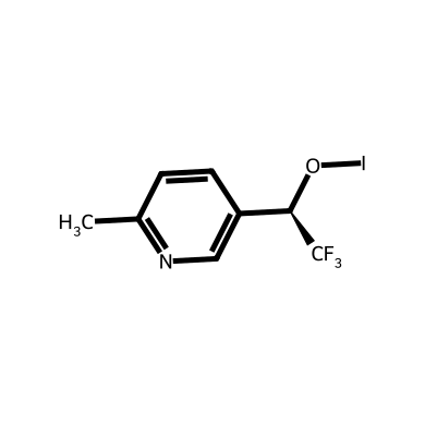 Cc1ccc([C@@H](OI)C(F)(F)F)cn1